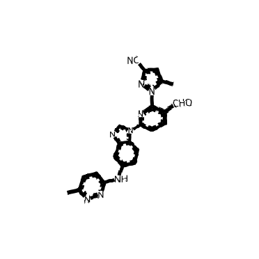 Cc1ccc(Nc2ccc3c(c2)ncn3-c2ccc(C=O)c(-n3nc(C#N)cc3C)n2)nn1